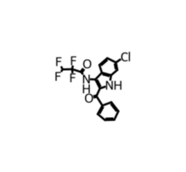 O=C(c1ccccc1)c1[nH]c2cc(Cl)ccc2c1NC(=O)C(F)(F)C(F)F